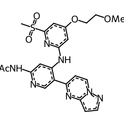 COCCOc1cc(Nc2cc(NC(C)=O)ncc2-c2ccn3nccc3n2)nc(S(C)(=O)=O)c1